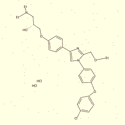 CCOCc1nc(-c2ccc(OC[C@H](O)CN(CC)CC)cc2)cn1-c1ccc(Oc2ccc(Cl)cc2)cc1.Cl.Cl